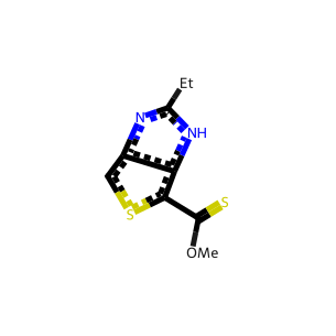 CCc1nc2csc(C(=S)OC)c2[nH]1